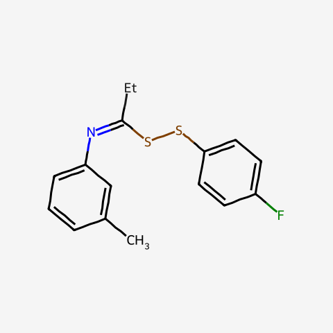 CCC(=Nc1cccc(C)c1)SSc1ccc(F)cc1